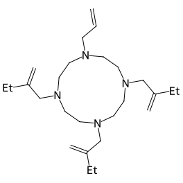 C=CCN1CCN(CC(=C)CC)CCN(CC(=C)CC)CCN(CC(=C)CC)CC1